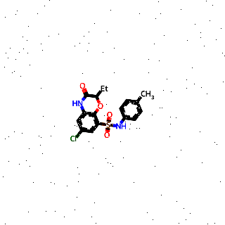 CCC1Oc2c(cc(Cl)cc2S(=O)(=O)Nc2ccc(C)cc2)NC1=O